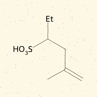 C=C(C)CC(CC)S(=O)(=O)O